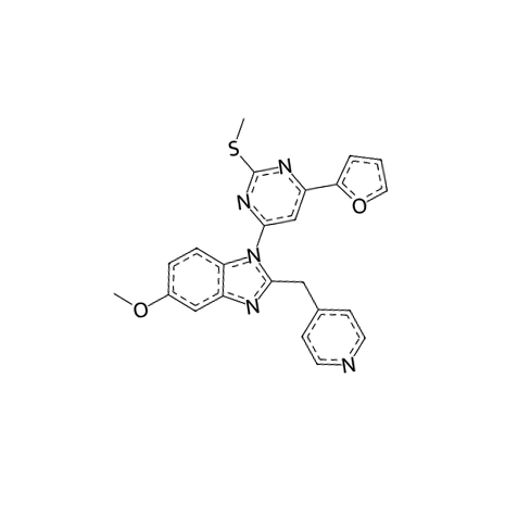 COc1ccc2c(c1)nc(Cc1ccncc1)n2-c1cc(-c2ccco2)nc(SC)n1